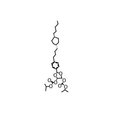 CCCCC[C@H]1CC[C@H](CCCCc2ccc(C3O[C@H](OC(=O)OC(C)C)[C@@H](OC(=O)OC(C)C)O3)cc2)CC1